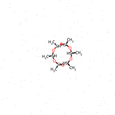 C[SiH]1O[SiH](C)O[SiH](C)O[SiH](C)O[SiH](C)O[SiH](C)O1